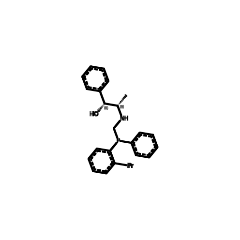 CC(C)c1ccccc1P(CN[C@@H](C)[C@H](O)c1ccccc1)c1ccccc1